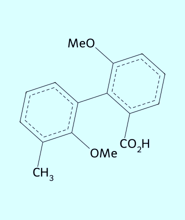 COc1cccc(C(=O)O)c1-c1cccc(C)c1OC